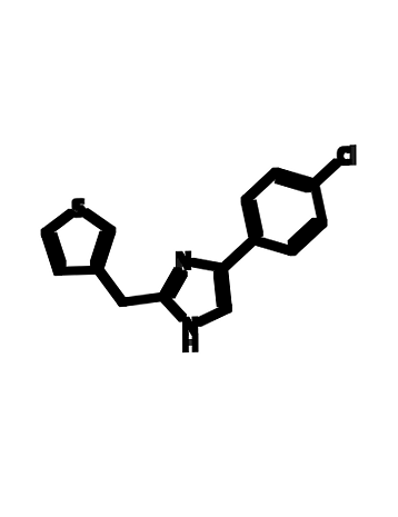 Clc1ccc(-c2c[nH]c(Cc3ccsc3)n2)cc1